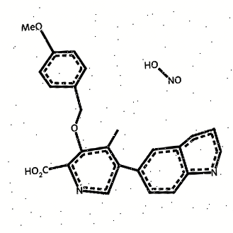 COc1ccc(COc2c(C(=O)O)ncc(-c3ccc4ncccc4c3)c2C)cc1.O=NO